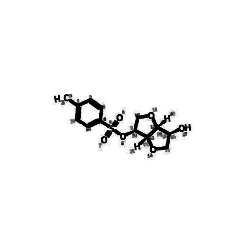 Cc1ccc(S(=O)(=O)O[C@H]2CO[C@H]3[C@@H]2OC[C@@H]3O)cc1